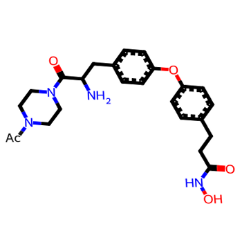 CC(=O)N1CCN(C(=O)C(N)Cc2ccc(Oc3ccc(CCC(=O)NO)cc3)cc2)CC1